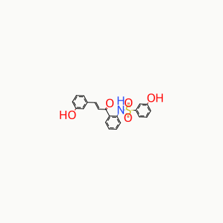 O=C(C=Cc1cccc(O)c1)c1ccccc1NS(=O)(=O)c1cccc(O)c1